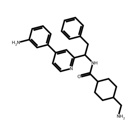 NCC1CCC(C(=O)NC(Cc2ccccc2)c2cc(-c3cccc(N)c3)ccn2)CC1